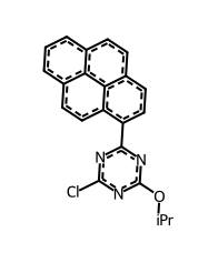 CC(C)Oc1nc(Cl)nc(-c2ccc3ccc4cccc5ccc2c3c45)n1